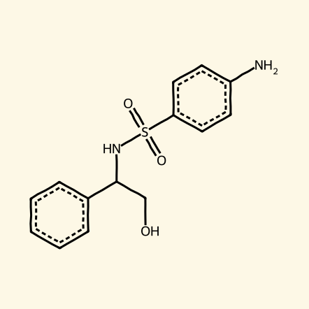 Nc1ccc(S(=O)(=O)NC(CO)c2ccccc2)cc1